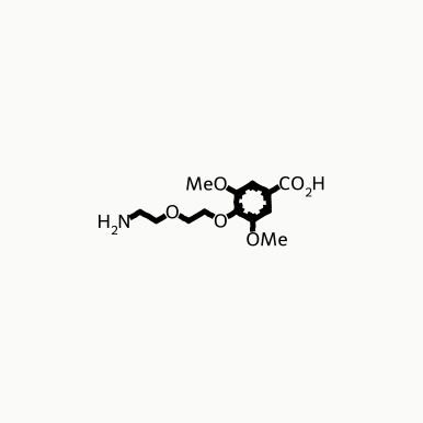 COc1cc(C(=O)O)cc(OC)c1OCCOCCN